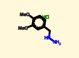 COc1ccc(CNN)cc1OC.Cl